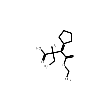 CCOC(=O)C(=C1CCCC1)C(C)(CC)C(=O)O